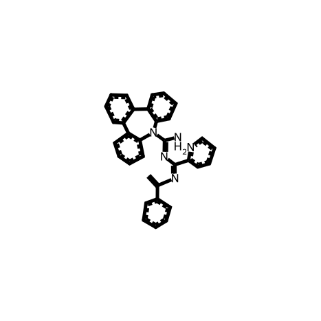 C=C(/N=C(\N=C(/N)N1c2ccccc2-c2ccccc2-c2ccccc21)c1ccccn1)c1ccccc1